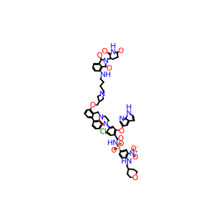 O=C1CCC(N2C(=O)c3cccc(NCCCCN4CC(COc5cccc(-c6ccc(Cl)cc6)c5CN5CCN(c6ccc(C(=O)NS(=O)(=O)c7ccc(NCC8CCOCC8)c([N+](=O)[O-])c7)c(Oc7cnc8[nH]ccc8c7)c6)CC5)C4)c3C2=O)C(=O)N1